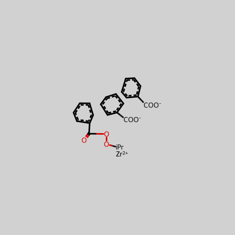 CC(C)OOC(=O)c1ccccc1.O=C([O-])c1ccccc1.O=C([O-])c1ccccc1.[Zr+2]